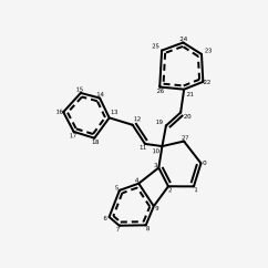 C1=CC2=C(c3ccccc32)C(C=Cc2ccccc2)(C=Cc2ccccc2)C1